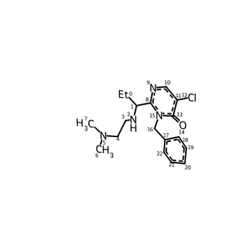 CCC(NCCN(C)C)c1ncc(Cl)c(=O)n1Cc1ccccc1